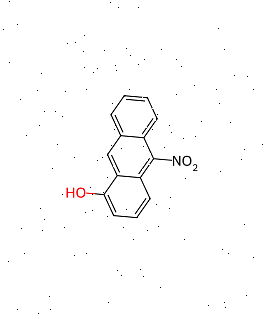 O=[N+]([O-])c1c2ccccc2cc2c(O)cccc12